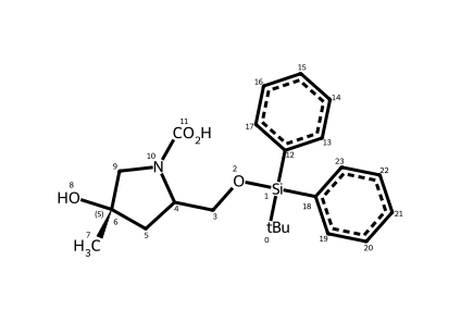 CC(C)(C)[Si](OCC1C[C@](C)(O)CN1C(=O)O)(c1ccccc1)c1ccccc1